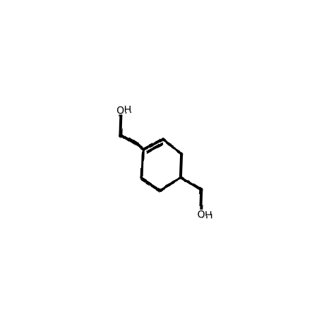 OCC1=CCC(CO)CC1